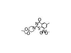 Cc1cc([N+](=O)[O-])c2sc(N3CCC4(CC3)OCC(C)O4)nc(=O)c2c1